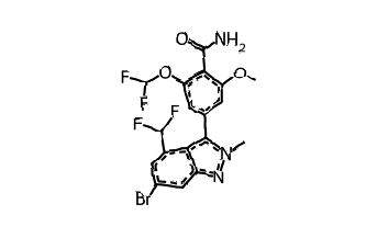 COc1cc(-c2c3c(C(F)F)cc(Br)cc3nn2C)cc(OC(F)F)c1C(N)=O